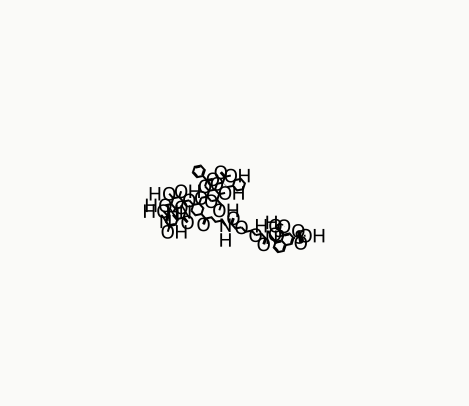 CC1OC(OC2C(NC(=O)c3cc(O)nc(O)n3)CC(C(=O)CCCNC(=O)COCCOCC(=O)Nc3cccc4cc(S(=O)(=O)O)cc(S(=O)(=O)O)c34)CC2OC2OC(CO)C(O)C(O[C@@H](CC3CCCCC3)C(=O)O)C2OC(=O)c2ccccc2)C(O)C(O)C1O